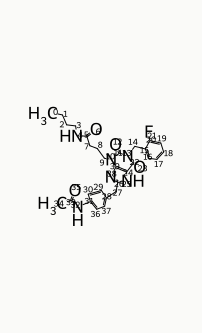 CCCCNC(=O)CCCn1c(=O)n(Cc2ccccc2F)c(=O)c2[nH]c(Cc3ccc(NC(C)=O)cc3)nc21